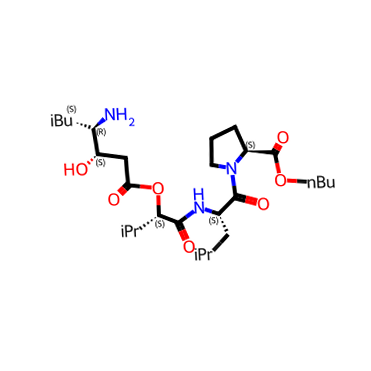 CCCCOC(=O)[C@@H]1CCCN1C(=O)[C@H](CC(C)C)NC(=O)[C@@H](OC(=O)C[C@H](O)[C@H](N)[C@@H](C)CC)C(C)C